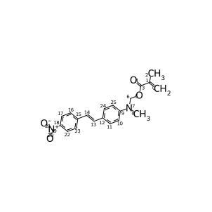 C=C(C)C(=O)OCN(C)c1ccc(C=Cc2ccc([N+](=O)[O-])cc2)cc1